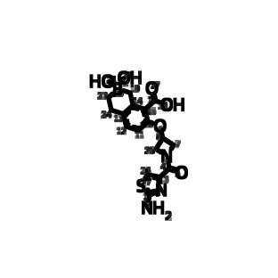 Nc1nc(C(=O)N2CC(Oc3ccc4c(c3C(=O)O)C[B-](O)(O)CC4)C2)cs1